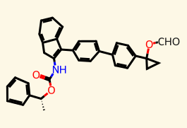 C[C@@H](OC(=O)NC1=C(c2ccc(-c3ccc(C4(OC=O)CC4)cc3)cc2)c2ccccc2C1)c1ccccc1